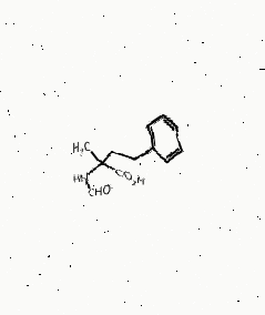 CC(CCc1ccccc1)(N[C]=O)C(=O)O